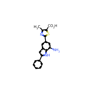 Cc1nc(-c2cc(N)c3[nH]c(-c4ccccc4)cc3c2)sc1C(=O)O